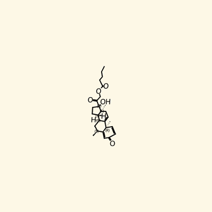 CCCCC(=O)OCC(=O)[C@@]1(O)CC[C@H]2[C@@H]3C[C@H](C)C4=CC(=O)C=C[C@]4(C)C3=CC[C@@]21C